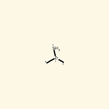 [CH3][Zr]([CH3])[SiH3]